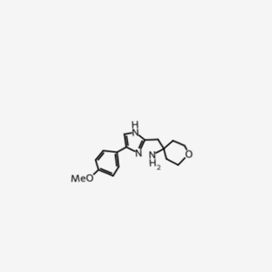 COc1ccc(-c2c[nH]c(CC3(N)CCOCC3)n2)cc1